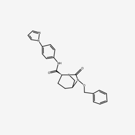 O=C(Nc1ccc(-n2cccn2)cc1)[C@@H]1CCC2CN1C(=O)N2OCc1ccccc1